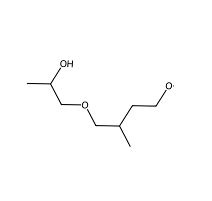 CC(O)COCC(C)CC[O]